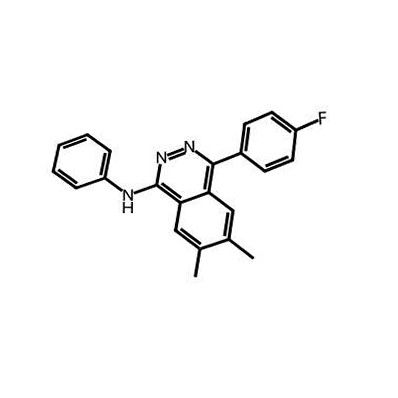 Cc1cc2c(Nc3ccccc3)nnc(-c3ccc(F)cc3)c2cc1C